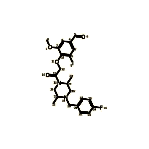 COc1cc(C=O)cc(I)c1OCC(=O)N1CC(C)N(Cc2ccc(F)cc2)CC1C